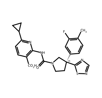 Cc1ccc([C@]2(c3ncns3)CCN(C(=O)Nc3nc(C4CC4)ccc3C(=O)O)C2)cc1F